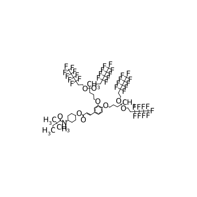 CCC(C)(C)C(=O)N[C@H]1CC[C@H](OC(=O)/C=C/c2ccc(OCCCC(C)(OCCC(F)(F)C(F)(F)C(F)(F)C(F)(F)F)OCCC(F)(F)C(F)(F)C(F)(F)C(F)(F)F)c(OCCCC(C)(OCCC(F)(F)C(F)(F)C(F)(F)C(F)(F)F)OCCC(F)(F)C(F)(F)C(F)(F)C(F)(F)F)c2)CC1